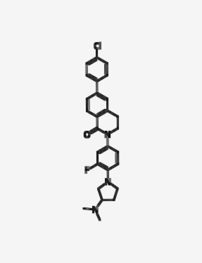 CN(C)C1CCN(c2ccc(N3CCc4cc(-c5ccc(Cl)cc5)ccc4C3=O)cc2F)C1